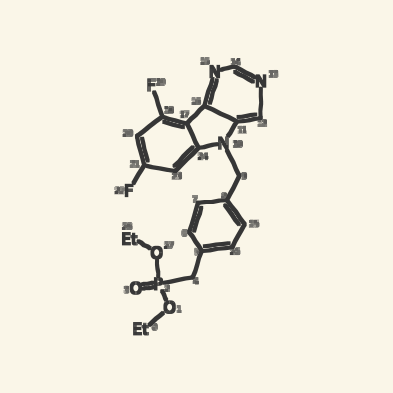 CCOP(=O)(Cc1ccc(Cn2c3cncnc3c3c(F)cc(F)cc32)cc1)OCC